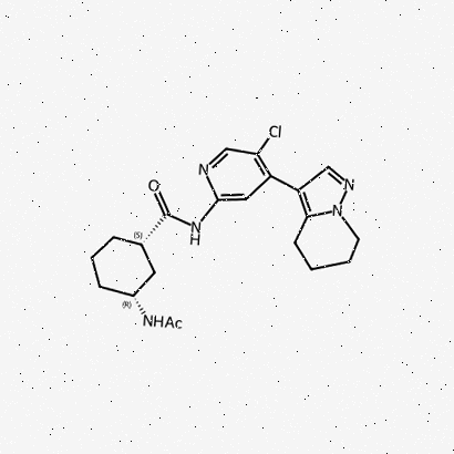 CC(=O)N[C@@H]1CCC[C@H](C(=O)Nc2cc(-c3cnn4c3CCCC4)c(Cl)cn2)C1